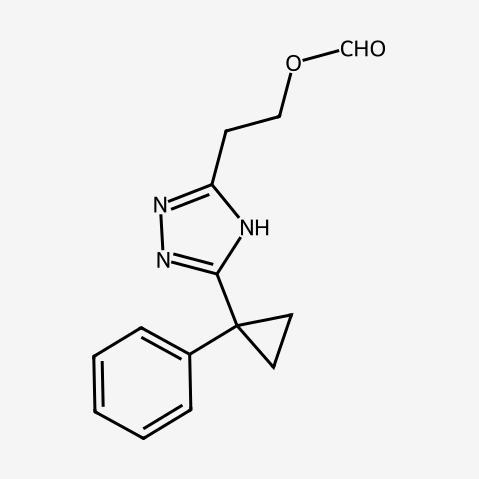 O=COCCc1nnc(C2(c3ccccc3)CC2)[nH]1